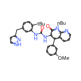 CCCCn1c(=O)c(NC(=O)Nc2cc(Cc3cc[nH]n3)ccc2C(C)(C)C)c(-c2cccc(OC)c2)c2cccnc21